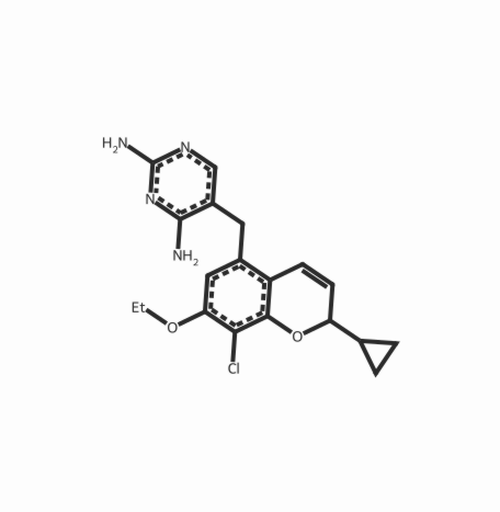 CCOc1cc(Cc2cnc(N)nc2N)c2c(c1Cl)OC(C1CC1)C=C2